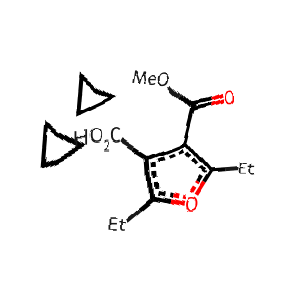 C1CC1.C1CC1.CCc1oc(CC)c(C(=O)OC)c1C(=O)O